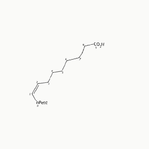 CCCCC/C=C\CCCCCCC(=O)O